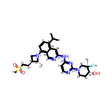 CC(C)c1ccc(N2C[C@H](CCS(C)(=O)=O)[C@H]2C)c2cnc(Nc3ccnc(N4CC[C@@H](O)[C@](C)(F)C4)n3)cc12